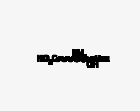 CCCCCCC(O)CCCCCCCCCCC(=O)O.N.N